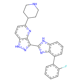 Fc1ccccc1-c1cccc2[nH]c(-c3n[nH]c4ccc(C5CCNCC5)nc34)nc12